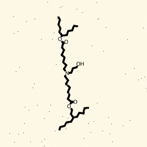 CCCCCC(CCCCC)CCOC(=O)CCCCCCCN(CCCO)CCCCCCCC(=O)OC(CCCCC)CCCCC